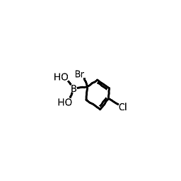 OB(O)C1(Br)C=CC(Cl)=CC1